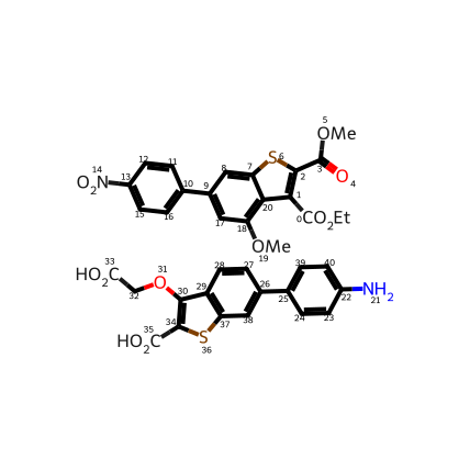 CCOC(=O)c1c(C(=O)OC)sc2cc(-c3ccc([N+](=O)[O-])cc3)cc(OC)c12.Nc1ccc(-c2ccc3c(OCC(=O)O)c(C(=O)O)sc3c2)cc1